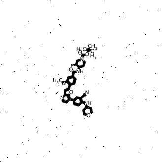 COc1cc(C(=O)NC2CCN(C(=O)OC(C)(C)C)CC2F)ccc1-c1cc2nccc(-c3ccc(NC4CCOCC4)c(C#N)c3)c2o1